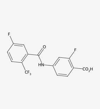 O=C(O)c1ccc(NC(=O)c2cc(F)ccc2C(F)(F)F)cc1F